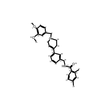 COc1ccc(CN2CC=C(c3cccc(CNC(=O)c4ccc(C)cc4C)c3)CC2)cc1OC